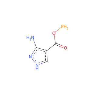 Nc1n[nH]cc1C(=O)OP